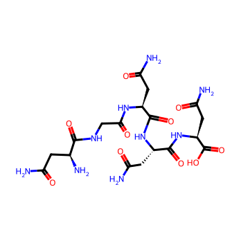 NC(=O)C[C@H](NC(=O)[C@H](CC(N)=O)NC(=O)[C@H](CC(N)=O)NC(=O)CNC(=O)[C@@H](N)CC(N)=O)C(=O)O